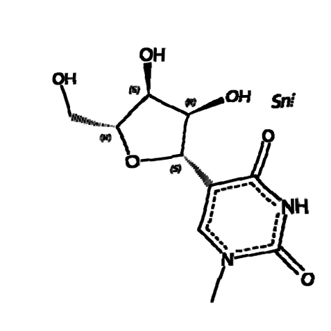 Cn1cc([C@@H]2O[C@H](CO)[C@@H](O)[C@H]2O)c(=O)[nH]c1=O.[Sn]